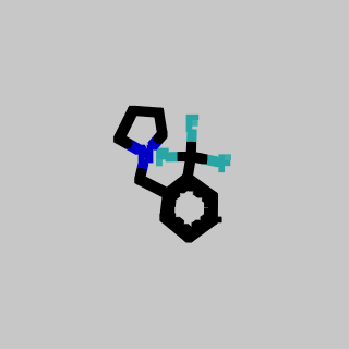 FC(F)(F)c1c[c]ccc1CN1CCCC1